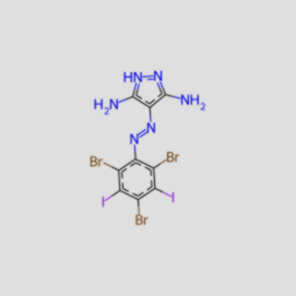 Nc1n[nH]c(N)c1N=Nc1c(Br)c(I)c(Br)c(I)c1Br